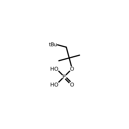 CC(C)(C)CC(C)(C)OP(=O)(O)O